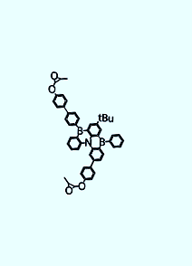 CC1OC1Oc1ccc(-c2ccc(B3c4ccccc4N4c5cc(-c6ccc(OC7OC7C)cc6)ccc5B(c5ccccc5)c5cc(C(C)(C)C)cc3c54)cc2)cc1